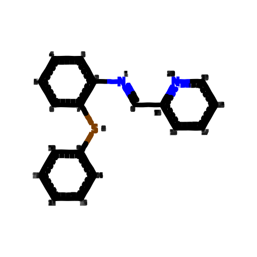 C(=N\c1ccccc1Sc1ccccc1)/c1ccccn1